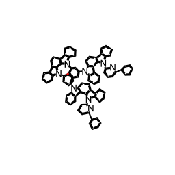 C1=C=C(c2ccccc2)N=C(n2c3ccccc3c3ccc4c(c5ccccc5n4Cc4cc(-n5c6ccccc6c6c5ccc5c7ccccc7n(-c7cccc(-c8ccccc8)n7)c56)cc(-n5c6ccccc6c6ccc7c8ccccc8n(-c8ccccc8)c7c65)c4)c32)C=1